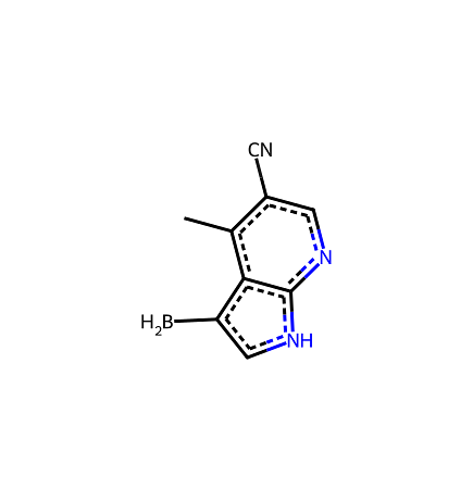 Bc1c[nH]c2ncc(C#N)c(C)c12